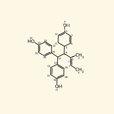 C/C=C(\C)C(C1C=CC(O)=CC1)C(c1ccc(O)cc1)c1ccc(O)cc1